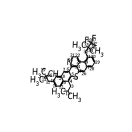 CC(C)Cc1c2c(cc3cc(CC(C)(C)C)ccc13)-c1nccc3c1c(cc1cccc(CC(C)(C)C(F)(F)F)c13)S2